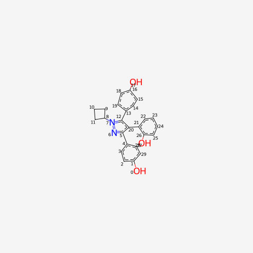 Oc1ccc(-c2nn(C3CCC3)c(-c3ccc(O)cc3)c2-c2ccccc2O)cc1